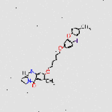 Cc1ccc(Oc2cc(OCCCCCCOc3cc4c(cc3C)C(=O)N3CCC[C@H]3C=N4)ccc2I)cc1